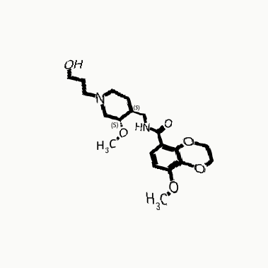 COc1ccc(C(=O)NC[C@@H]2CCN(CCCO)C[C@H]2OC)c2c1OCCO2